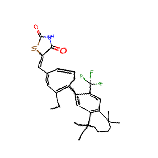 CCc1cc(C=C2SC(=O)NC2=O)ccc1-c1cc2c(cc1C(F)(F)F)C(C)(C)CCC2(C)C